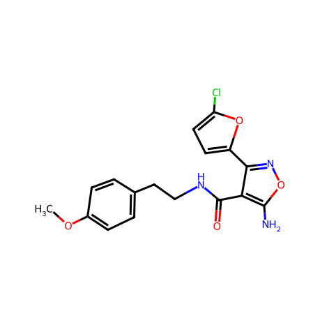 COc1ccc(CCNC(=O)c2c(-c3ccc(Cl)o3)noc2N)cc1